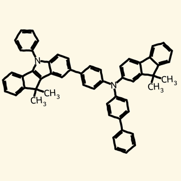 CC1(C)c2ccccc2-c2ccc(N(c3ccc(-c4ccccc4)cc3)c3ccc(-c4ccc5c(c4)c4c(n5-c5ccccc5)-c5ccccc5C4(C)C)cc3)cc21